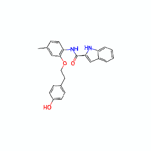 Cc1ccc(NC(=O)c2cc3ccccc3[nH]2)c(OCCc2ccc(O)cc2)c1